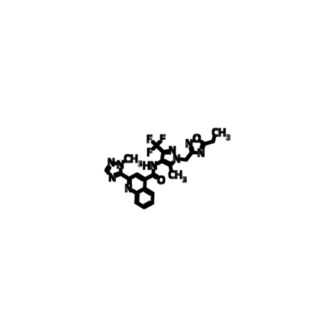 CCc1nc(Cn2nc(C(F)(F)F)c(NC(=O)c3cc(-c4ncnn4C)nc4ccccc34)c2C)no1